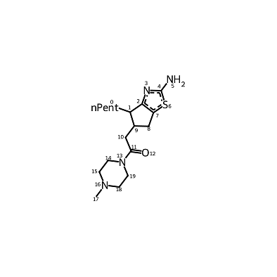 CCCCCC1c2nc(N)sc2CC1CC(=O)N1CCN(C)CC1